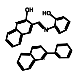 Oc1[c]c2ccccc2cc1C=Nc1ccccc1O.[c]1c(-c2ccccc2)ccc2ccccc12